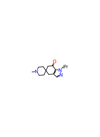 CC(C)n1ncc2c1C(=O)CC1(CCN(C)CC1)C2